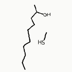 CCCCCCCCC(C)O.CS